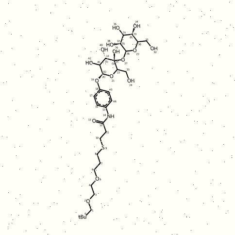 CC(C)(C)COCCOCCCSCCC(=O)Nc1ccc(O[C@@H]2OC(CO)[C@@](O)(OC3OC(CO)[C@H](O)C(O)[C@@H]3O)[C@@H](O)C2O)cc1